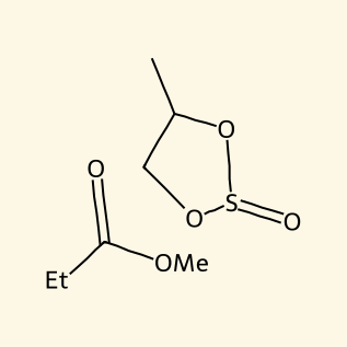 CC1COS(=O)O1.CCC(=O)OC